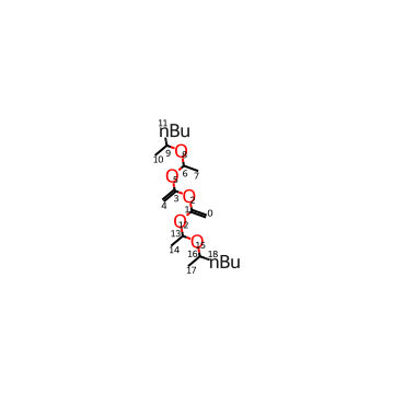 C=C(OC(=C)OC(C)OC(C)CCCC)OC(C)OC(C)CCCC